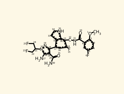 COc1ccc(F)cc1C(=O)NCc1c(F)cc(-c2nn(C(CF)CF)c(N)c2C(N)=O)c2cc[nH]c12